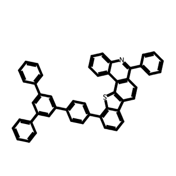 c1ccc(-c2cc(-c3ccccc3)cc(-c3ccc(-c4cccc5c4sc4c5ccc5c(-c6ccccc6)nc6ccccc6c54)cc3)c2)cc1